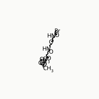 CCC(CO)OC(COC(=O)CCCC(=O)NCCCOCCCNC(=O)CBr)OC